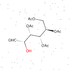 CC(=O)OC[C@@H](OC(C)=O)[C@H](OC(C)=O)[C@@H](OC(C)=O)[C@H](O)C=O